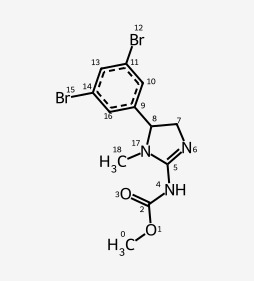 COC(=O)NC1=NCC(c2cc(Br)cc(Br)c2)N1C